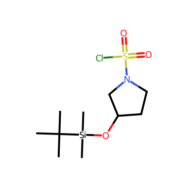 CC(C)(C)[Si](C)(C)OC1CCN(S(=O)(=O)Cl)C1